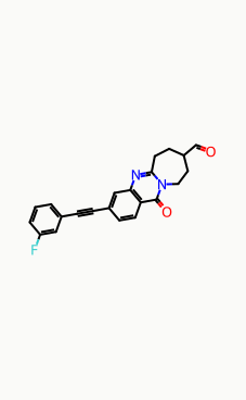 O=CC1CCc2nc3cc(C#Cc4cccc(F)c4)ccc3c(=O)n2CC1